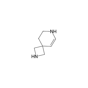 C1=CC2(CCN1)CNC2